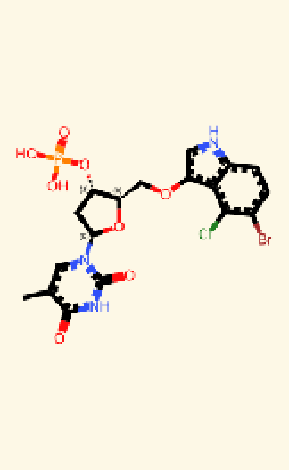 Cc1cn([C@H]2C[C@H](OP(=O)(O)O)[C@@H](COc3c[nH]c4ccc(Br)c(Cl)c34)O2)c(=O)[nH]c1=O